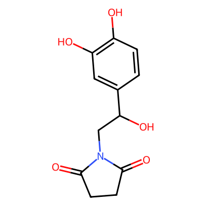 O=C1CCC(=O)N1CC(O)c1ccc(O)c(O)c1